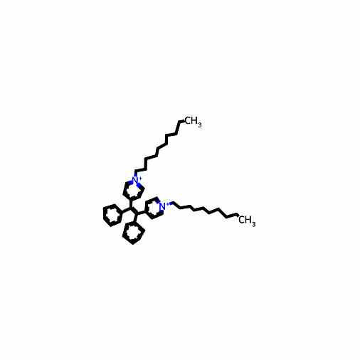 CCCCCCCCCC[n+]1ccc(/C(=C(/c2ccccc2)c2cc[n+](CCCCCCCCCC)cc2)c2ccccc2)cc1